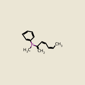 C=C(/C=C\C=C/C)P(C)c1ccccc1